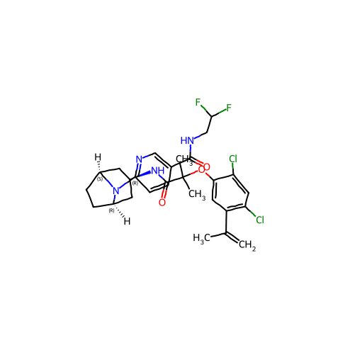 C=C(C)c1cc(OC(C)(C)C(=O)N[C@H]2C[C@H]3CC[C@@H](C2)N3c2ccc(C(=O)NCC(F)F)cn2)c(Cl)cc1Cl